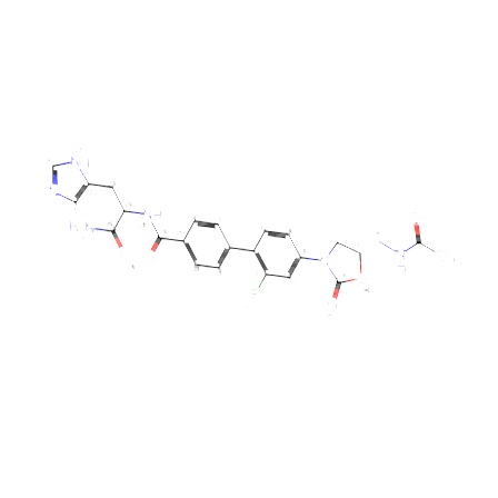 CC(=O)NC[C@H]1CN(c2ccc(-c3ccc(C(=O)NC(Cc4cnc[nH]4)C(N)=O)cc3)c(F)c2)C(=O)O1